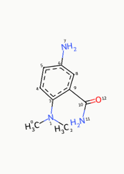 CN(C)c1ccc(N)cc1C(N)=O